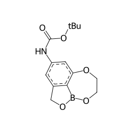 CC(C)(C)OC(=O)Nc1cc2c3c(c1)OCCOB3OC2